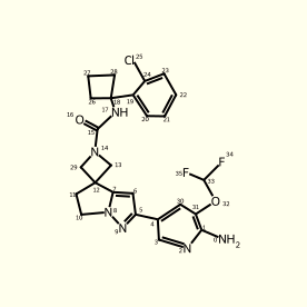 Nc1ncc(-c2cc3n(n2)CCC32CN(C(=O)NC3(c4ccccc4Cl)CCC3)C2)cc1OC(F)F